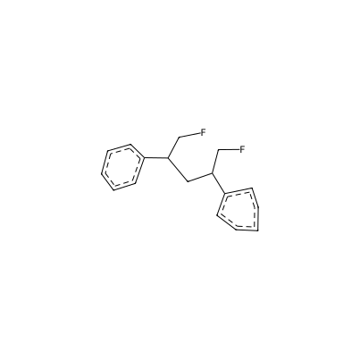 FCC(CC(CF)c1ccccc1)c1ccccc1